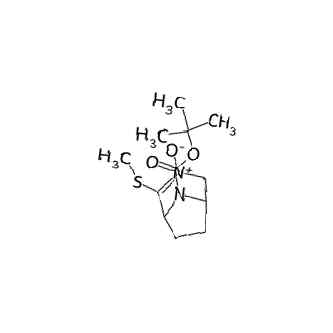 CSC1=[N+]([O-])CC2CCC1N2C(=O)OC(C)(C)C